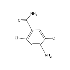 NC(=O)c1cc(Cl)c(N)cc1Cl